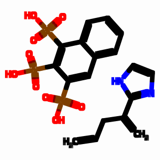 C=CCC(=C)c1ncc[nH]1.O=S(=O)(O)c1cc2ccccc2c(S(=O)(=O)O)c1S(=O)(=O)O